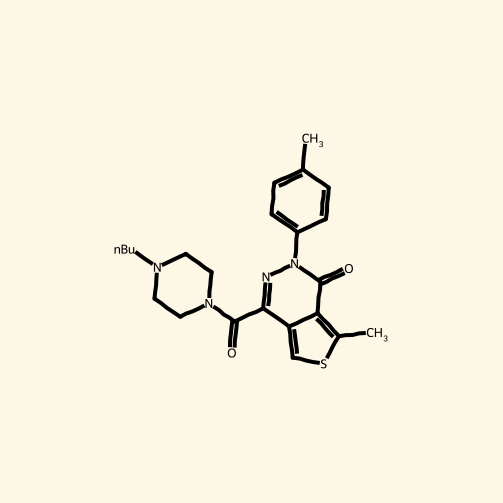 CCCCN1CCN(C(=O)c2nn(-c3ccc(C)cc3)c(=O)c3c(C)scc23)CC1